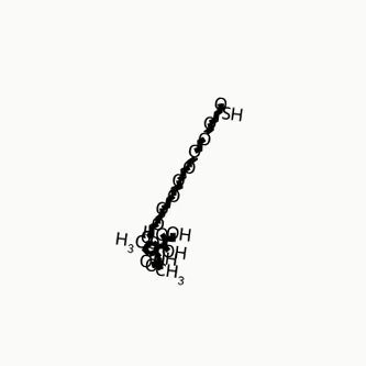 CC(=O)NC1C(O)CC(C)(OCCOCCOCCOCCOCCOCCOCCOCCOCCC(=O)S)OC1C(O)C(O)CO